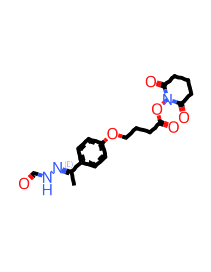 C/C(=N\NC=O)c1ccc(OCCCC(=O)ON2C(=O)CCCC2=O)cc1